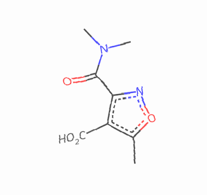 Cc1onc(C(=O)N(C)C)c1C(=O)O